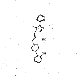 Cc1c(C=CCN2CCN(c3ccccc3O)CC2)cnn1-c1ncccn1.Cl